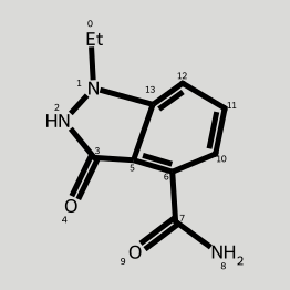 CCn1[nH]c(=O)c2c(C(N)=O)cccc21